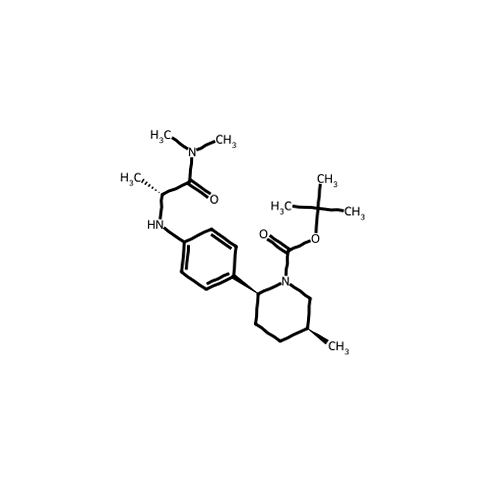 C[C@H]1CC[C@@H](c2ccc(N[C@H](C)C(=O)N(C)C)cc2)N(C(=O)OC(C)(C)C)C1